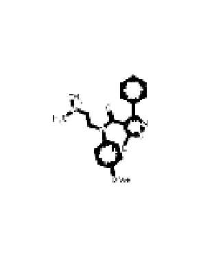 COc1ccc(N(CCN(C)C)C(=O)c2c(-c3ccccc3)noc2C)cc1